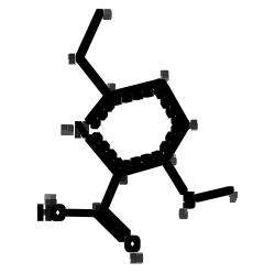 CCc1ccc(SC)c(C(=O)O)n1